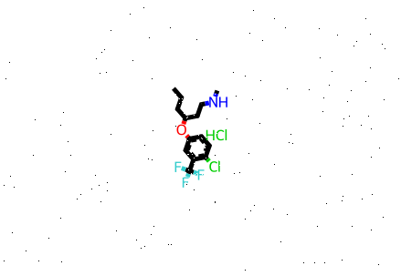 CCCC(CCNC)Oc1ccc(Cl)c(C(F)(F)F)c1.Cl